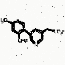 CCOC(=O)Cc1cncc(-c2ccc(C)cc2C=O)c1